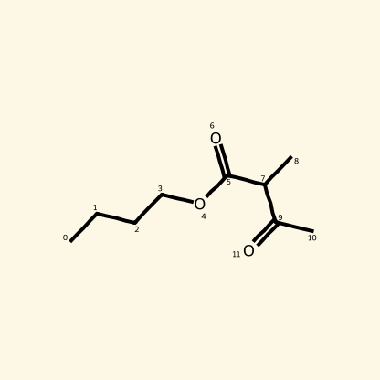 CCCCOC(=O)C(C)C(C)=O